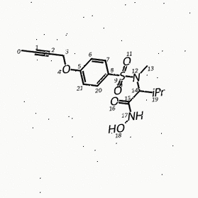 CC#CCOc1ccc(S(=O)(=O)N(C)C(C(=O)NO)C(C)C)cc1